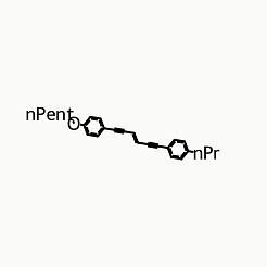 CCCCCOc1ccc(C#C/C=C/C#Cc2ccc(CCC)cc2)cc1